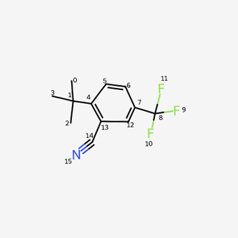 CC(C)(C)c1ccc(C(F)(F)F)cc1C#N